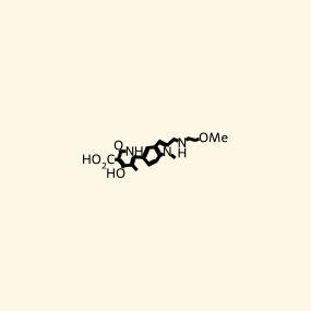 COCCNCc1cc2cc(-c3[nH]c(=O)c(C(=O)O)c(O)c3C)ccc2n1C